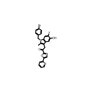 Cc1c(CC(=O)c2ncc(-c3ccccn3)o2)c2cc(O)c(F)cc2n1Cc1ccc(Br)cc1